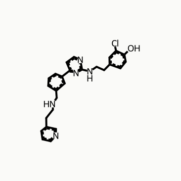 Oc1ccc(CCNc2nccc(-c3cccc(CNCCc4cccnc4)c3)n2)cc1Cl